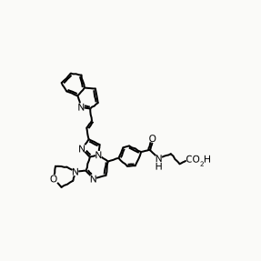 O=C(O)CCNC(=O)c1ccc(-c2cnc(N3CCOCC3)c3nc(C=Cc4ccc5ccccc5n4)cn23)cc1